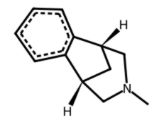 CN1C[C@H]2C[C@@H](C1)c1ccccc12